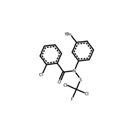 CC(C)(C)c1cccc(N(SC(F)(Cl)Cl)C(=O)c2ccccc2Cl)c1